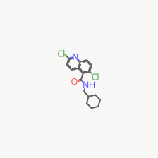 O=C(NCC1CCCCC1)c1c(Cl)ccc2nc(Cl)ccc12